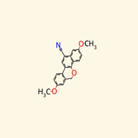 COc1ccc2c(c1)COc1c-2cc(C#N)c2cc(OC)ccc12